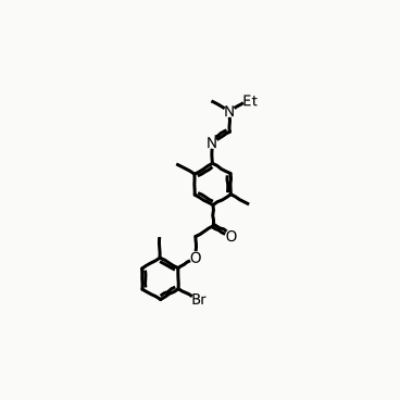 CCN(C)C=Nc1cc(C)c(C(=O)COc2c(C)cccc2Br)cc1C